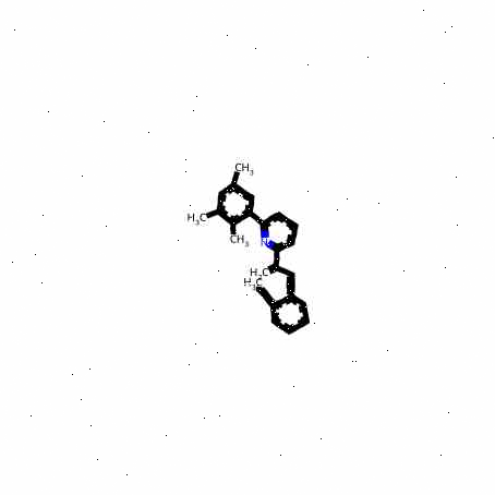 C=C(/C=c1/cccc/c1=C/C)c1cccc(-c2cc(C)cc(C)c2C)n1